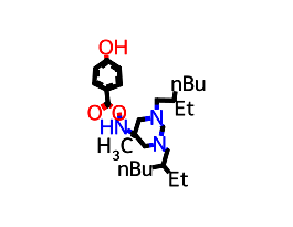 CCCCC(CC)CN1CN(CC(CC)CCCC)CC(C)(NOC(=O)c2ccc(O)cc2)C1